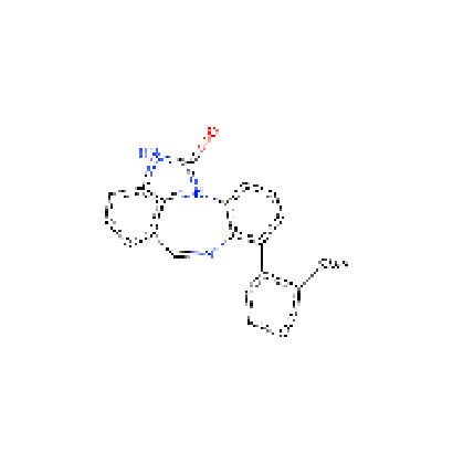 CSc1ccccc1-c1cccc2c1N=Cc1cccc3[nH]c(=O)n-2c13